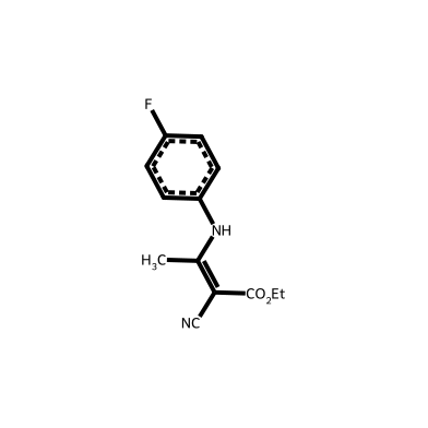 CCOC(=O)/C(C#N)=C(/C)Nc1ccc(F)cc1